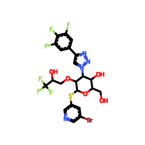 OCC1OC(Sc2cncc(Br)c2)C(OCC(O)C(F)(F)F)C(n2cc(-c3cc(F)c(F)c(F)c3)nn2)C1O